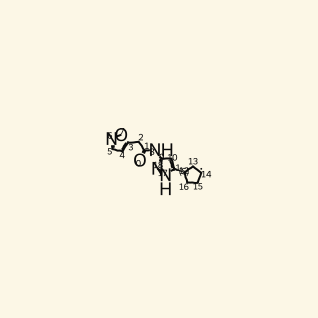 O=C(Cc1ccno1)Nc1cc([C@H]2C[CH]CC2)[nH]n1